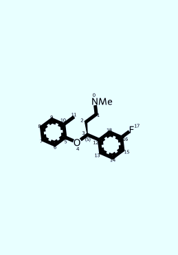 CNCC[C@H](Oc1ccccc1C)c1cccc(F)c1